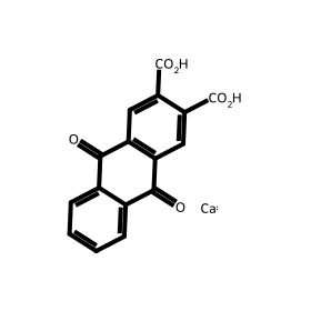 O=C(O)c1cc2c(cc1C(=O)O)C(=O)c1ccccc1C2=O.[Ca]